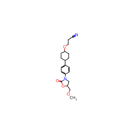 COCC1CN(c2ccc(C3CCC(OCCC#N)CC3)cc2)C(=O)O1